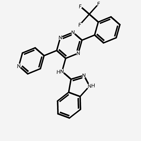 FC(F)(F)c1ccccc1-c1nnc(-c2ccncc2)c(Nc2n[nH]c3ccccc23)n1